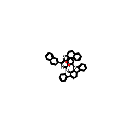 c1ccc(-n2c3ccccc3c3ccc4c5ccccc5n(-c5nc(-c6ccc7ccccc7c6)c6sc7ccc8ccccc8c7c6n5)c4c32)cc1